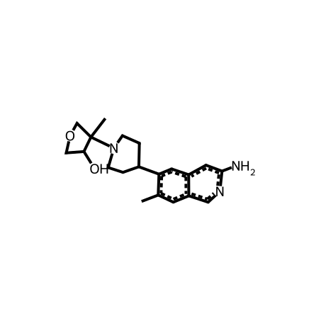 Cc1cc2cnc(N)cc2cc1C1CCN(C2(C)COCC2O)CC1